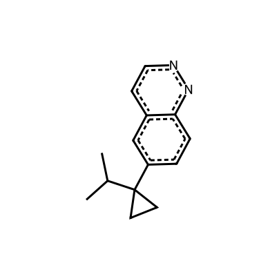 CC(C)C1(c2ccc3nnccc3c2)CC1